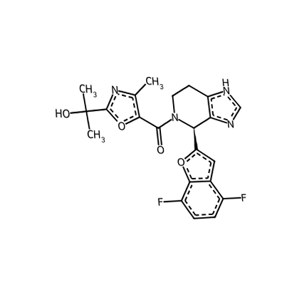 Cc1nc(C(C)(C)O)oc1C(=O)N1CCc2[nH]cnc2[C@H]1c1cc2c(F)ccc(F)c2o1